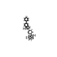 CCC(C)(C)S(=O)(=O)N[C@H]1CC[C@H](c2nc3cc(-c4ccccc4)ccc3[nH]2)CC1